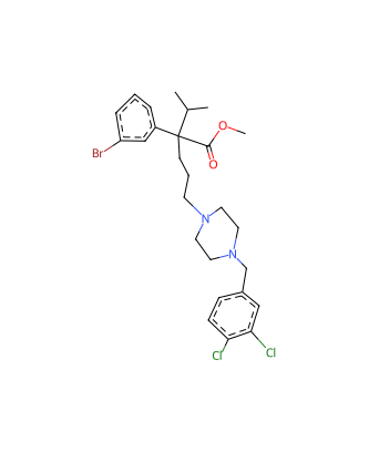 COC(=O)C(CCCN1CCN(Cc2ccc(Cl)c(Cl)c2)CC1)(c1cccc(Br)c1)C(C)C